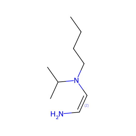 CCCCN(/C=C\N)C(C)C